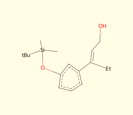 CCC(=CCO)c1cccc(O[Si](C)(C)C(C)(C)C)c1